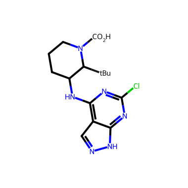 CC(C)(C)C1C(Nc2nc(Cl)nc3[nH]ncc23)CCCN1C(=O)O